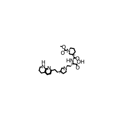 COC(=O)N1CCC[C@@H](C(=O)N[C@@H](CCN2CC[C@@H](CCc3ccc4c(n3)NCCC4)C2)C(=O)O)C1